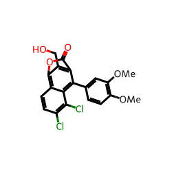 COc1ccc(-c2c3c(CO)c(c4ccc(Cl)c(Cl)c24)OC3=O)cc1OC